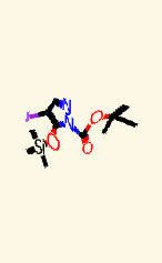 CC(C)(C)OC(=O)n1ncc(I)c1O[Si](C)(C)C